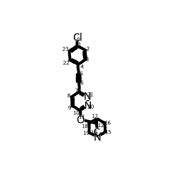 Clc1ccc(C#Cc2ccc(OC3CN4CCC3CC4)nn2)cc1